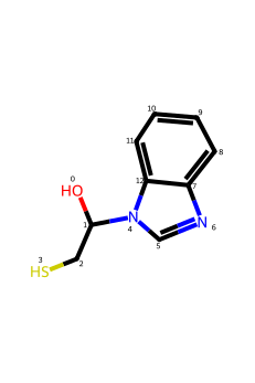 OC(CS)n1cnc2ccccc21